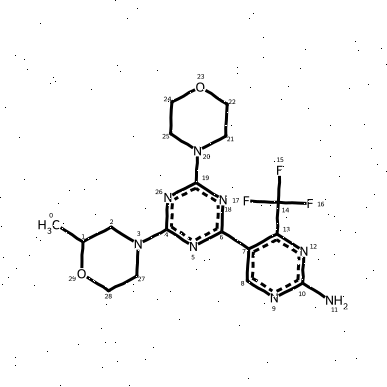 CC1CN(c2nc(-c3cnc(N)nc3C(F)(F)F)nc(N3CCOCC3)n2)CCO1